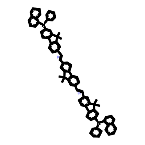 CC1(C)c2cc(/C=C/c3ccc4c(c3)C(C)(C)c3cc(N(c5ccccc5)c5cccc6ccccc56)ccc3-4)ccc2-c2ccc(/C=C/c3ccc4c(c3)C(C)(C)c3cc(N(c5ccccc5)c5cccc6ccccc56)ccc3-4)cc21